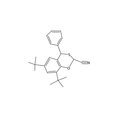 CC(C)(C)c1cc2c(c(C(C)(C)C)c1)OC(C#N)SC2c1ccccc1